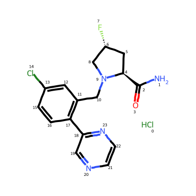 Cl.NC(=O)[C@@H]1C[C@@H](F)CN1Cc1cc(Cl)ccc1-c1cnccn1